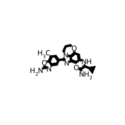 Cc1cc(-c2nc3cc(N[C@H](C(N)=O)C4CC4)cc4c3n2CCCO4)cc2nc(N)oc12